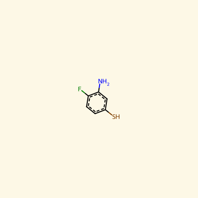 Nc1cc(S)ccc1F